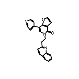 O=c1c2ccoc2c(-c2ccncc2)cn1CCc1ccc2ccccc2n1